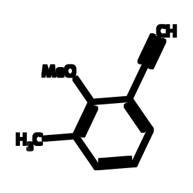 C#Cc1cccc(C)c1OC